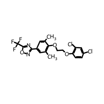 Cc1cc(-c2noc(C(F)(F)F)n2)cc(C)c1OCCOc1ccc(Cl)cc1Cl